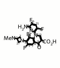 CNC1CN(c2c(F)cc3c(=O)c(C(=O)O)cn(-c4nc(N)c(F)cc4F)c3c2Br)C1